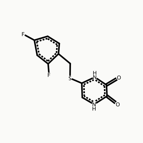 O=c1[nH]cc(SCc2ccc(F)cc2F)[nH]c1=O